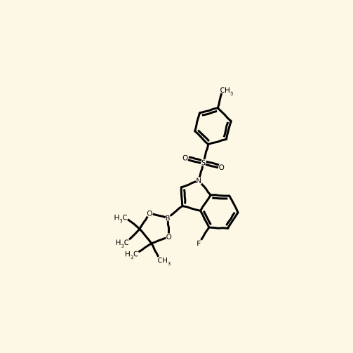 Cc1ccc(S(=O)(=O)n2cc(B3OC(C)(C)C(C)(C)O3)c3c(F)cccc32)cc1